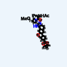 COC[C@H]1C[C@@H](c2nc3ccc4cc5c(cc4c3[nH]2)OCc2cc(B3OC(C)(C)C(C)(C)O3)ccc2-5)N(C(=O)[C@@H](NC(C)=O)C(C)C)C1